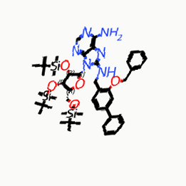 CC(C)(C)[Si](C)(C)OC[C@H]1O[C@@H](n2c(NCc3ccc(-c4ccccc4)cc3OCc3ccccc3)nc3c(N)ncnc32)[C@H](O[Si](C)(C)C(C)(C)C)[C@@H]1O[Si](C)(C)C(C)(C)C